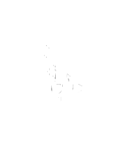 CN1CCN(Cc2nc3n(n2)-c2ccc(Cl)cc2C(c2ccccc2)=NC3)CC1